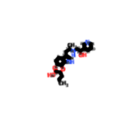 CCCC(Oc1cccc2c(C[C@@H](C)NC[C@H](O)c3cccnc3)c[nH]c12)C(=O)O